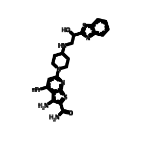 CCCc1cc(N2CCC(NCC(O)c3nc4ccccc4s3)CC2)nc2sc(C(N)=O)c(N)c12